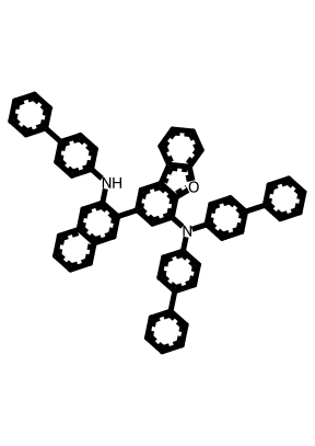 c1ccc(-c2ccc(Nc3cc4ccccc4cc3-c3cc(N(c4ccc(-c5ccccc5)cc4)c4ccc(-c5ccccc5)cc4)c4oc5ccccc5c4c3)cc2)cc1